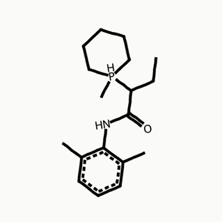 CCC(C(=O)Nc1c(C)cccc1C)[PH]1(C)CCCCC1